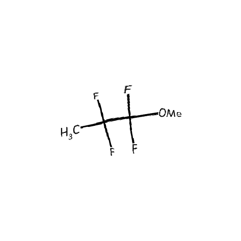 COC(F)(F)C(C)(F)F